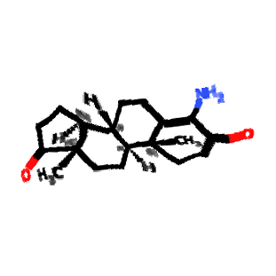 C[C@]12CCC(=O)C(N)=C1CC[C@@H]1[C@@H]2CC[C@]2(C)C(=O)CC[C@@H]12